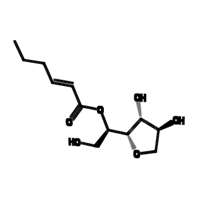 CCCC=CC(=O)O[C@H](CO)[C@H]1OC[C@H](O)[C@H]1O